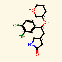 O=C1CC(CC(OC2CCCOC2)c2ccc(Cl)c(Cl)c2)CN1